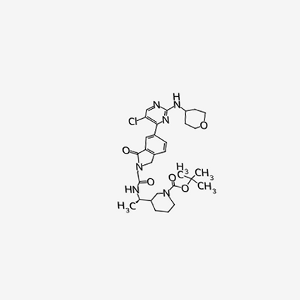 C[C@@H](NC(=O)CN1Cc2ccc(-c3nc(NC4CCOCC4)ncc3Cl)cc2C1=O)C1CCCN(C(=O)OC(C)(C)C)C1